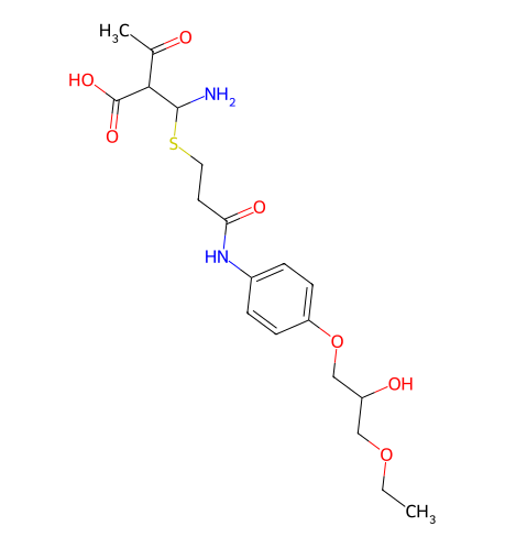 CCOCC(O)COc1ccc(NC(=O)CCSC(N)C(C(C)=O)C(=O)O)cc1